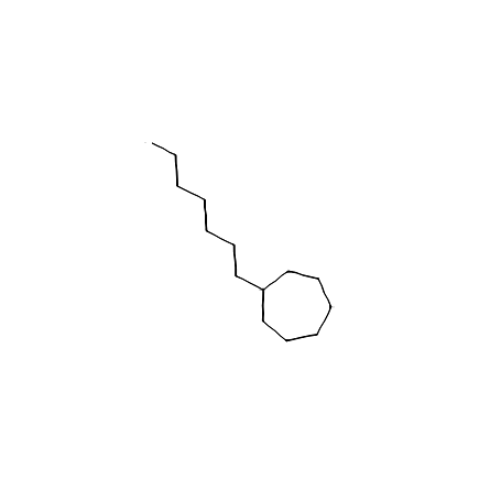 BrCCCCCCC1CCCCCC1